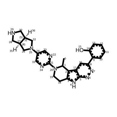 CC1c2c([nH]c3nnc(-c4ccccc4O)cc23)CCN1c1ncc(N2C[C@H]3CNC[C@H]3C2)cn1